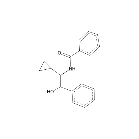 O=C(NC(C1CC1)C(O)c1ccccc1)c1ccccc1